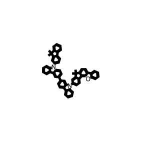 CC1(C)c2ccccc2-c2ccc(-n3c4ccccc4c4cc(-c5ccc6c7ccccc7n(-c7ccc8c(c7)C(C)(C)c7ccc9c(oc%10ccccc%109)c7-8)c6c5)ccc43)cc21